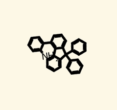 Nc1ccccc1-c1cccc2c1-c1ccccc1C2(c1ccccc1)c1ccccc1